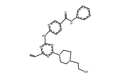 C=Cc1nc(Nc2ccc(C(=O)Nc3ccccc3)cn2)nc(N2CCN(CCO)CC2)n1